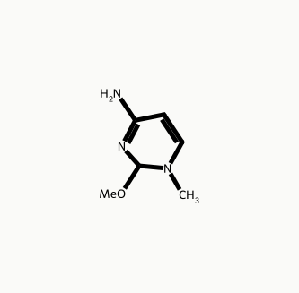 COC1N=C(N)C=CN1C